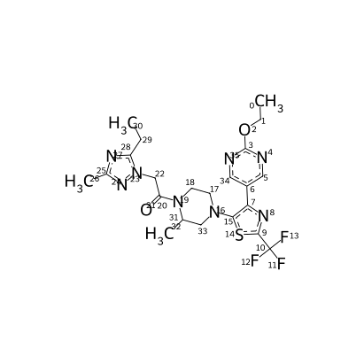 CCOc1ncc(-c2nc(C(F)(F)F)sc2N2CCN(C(=O)Cn3nc(C)nc3CC)C(C)C2)cn1